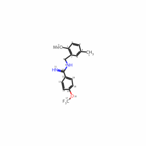 COc1ccc(C)cc1CNC(=N)c1ccc(OC(F)(F)F)cc1